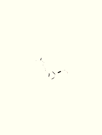 CC(C)CC#Cc1cccc(CCCNC(=O)OC(C)(C)C)c1